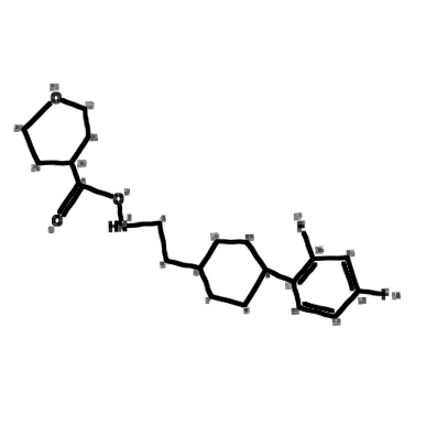 O=C(ONCCC1CCC(c2ccc(F)cc2F)CC1)C1CCOCC1